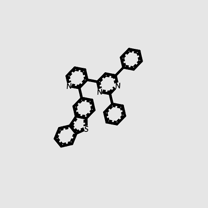 c1ccc(-c2cc(-c3cccnc3-c3ccc4sc5ccccc5c4c3)nc(-c3ccccc3)n2)cc1